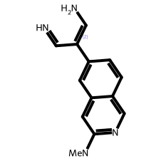 CNc1cc2cc(/C(C=N)=C/N)ccc2cn1